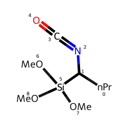 CCCC(N=C=O)[Si](OC)(OC)OC